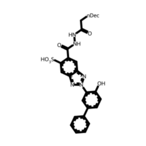 CCCCCCCCCCCC(=O)NNC(=O)c1cc2nn(-c3cc(-c4ccccc4)ccc3O)nc2cc1S(=O)(=O)O